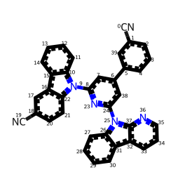 N#Cc1cccc(-c2cc(-n3c4ccccc4c4cc(C#N)ccc43)nc(-n3c4ccccc4c4cccnc43)c2)c1